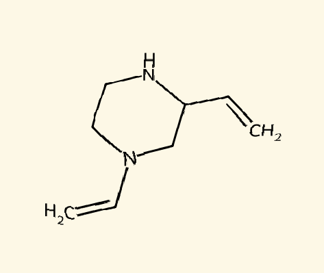 C=CC1CN(C=C)CCN1